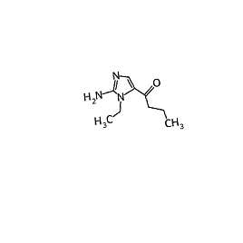 CCCC(=O)c1cnc(N)n1CC